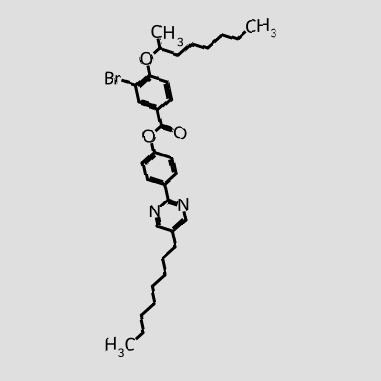 CCCCCCCCc1cnc(-c2ccc(OC(=O)c3ccc(OC(C)CCCCCC)c(Br)c3)cc2)nc1